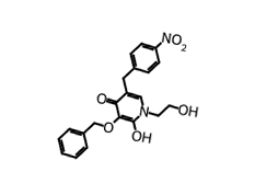 O=c1c(Cc2ccc([N+](=O)[O-])cc2)cn(CCO)c(O)c1OCc1ccccc1